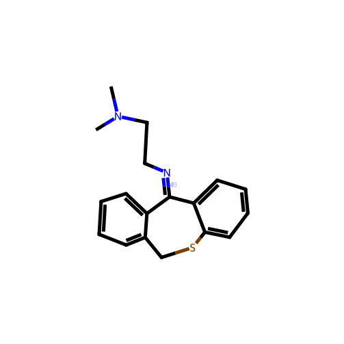 CN(C)CC/N=C1\c2ccccc2CSc2ccccc21